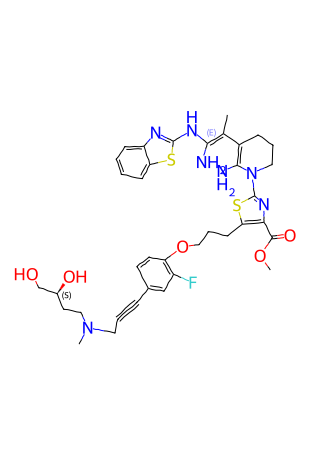 COC(=O)c1nc(N2CCCC(/C(C)=C(\N)Nc3nc4ccccc4s3)=C2N)sc1CCCOc1ccc(C#CCN(C)CC[C@H](O)CO)cc1F